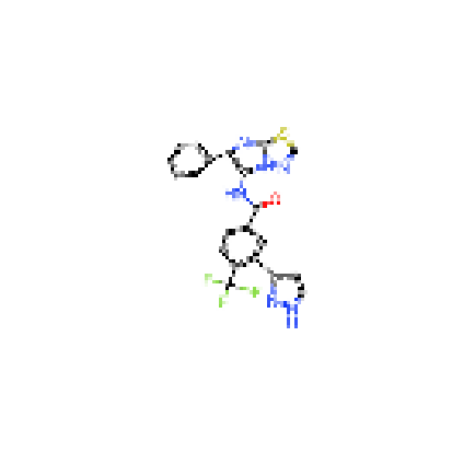 O=C(Nc1c(-c2ccccc2)nc2scnn12)c1ccc(C(F)(F)F)c(-c2cc[nH]n2)c1